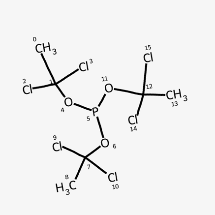 CC(Cl)(Cl)OP(OC(C)(Cl)Cl)OC(C)(Cl)Cl